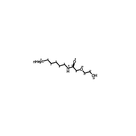 CCCCCCCCCCCCNC(=O)COCCO